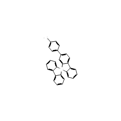 Clc1ccc(-c2ccc3c(c2)[Si]2(c4ccccc4-c4ccccc42)c2ccccc2-3)cc1